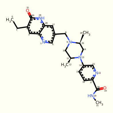 CCc1cc2ncc(CN3C[C@H](C)N(c4ccc(C(=O)NC)nc4)C[C@@H]3C)cc2[nH]c1=O